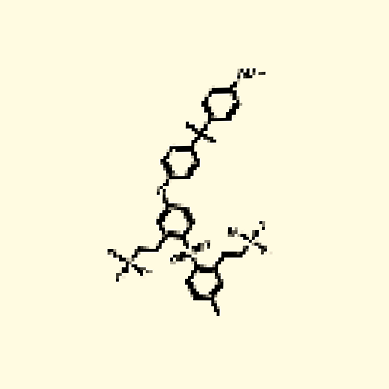 CCP(=O)(CC)CCc1cc(C)ccc1S(=O)(=O)c1ccc(Oc2ccc(C(C)(C)c3ccc(OC)cc3)cc2)cc1CCP(=O)(CC)CC